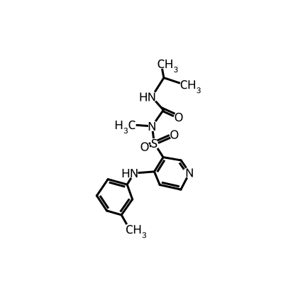 Cc1cccc(Nc2ccncc2S(=O)(=O)N(C)C(=O)NC(C)C)c1